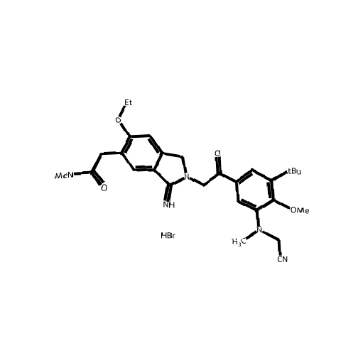 Br.CCOc1cc2c(cc1CC(=O)NC)C(=N)N(CC(=O)c1cc(N(C)CC#N)c(OC)c(C(C)(C)C)c1)C2